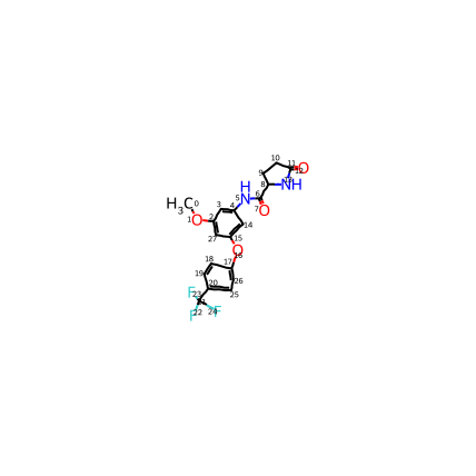 COc1cc(NC(=O)C2CCC(=O)N2)cc(Oc2ccc(C(F)(F)F)cc2)c1